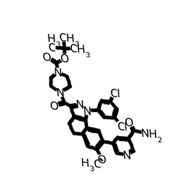 COc1cc2c(cc1-c1cncc(C(N)=O)c1)-c1c(c(C(=O)N3CCN(C(=O)OC(C)(C)C)CC3)nn1-c1cc(Cl)cc(Cl)c1)CC2